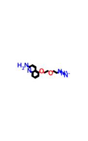 [N-]=[N+]=NCCOCCOc1cccc2nc(N)ccc12